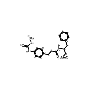 COCC(Cc1ccccc1)NC(=O)CCc1ccc(OC(=O)OC(C)(C)C)cc1